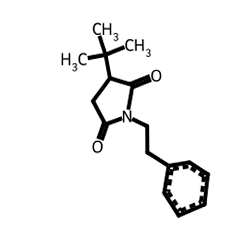 CC(C)(C)C1CC(=O)N(CCc2ccccc2)C1=O